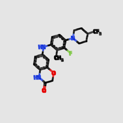 Cc1c(Nc2ccc3c(c2)OCC(=O)N3)ccc(N2CCC(C(F)(F)F)CC2)c1F